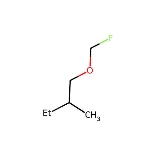 CCC(C)COCF